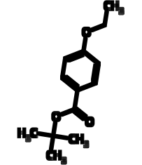 CCOc1ccc(C(=O)OC(C)(C)C)cc1